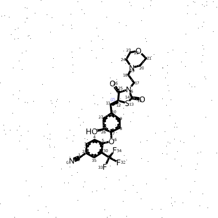 N#Cc1ccc(Oc2ccc(/C=C3\SC(=O)N(CCN4CCOCC4)C3=O)cc2O)c(C(F)(F)F)c1